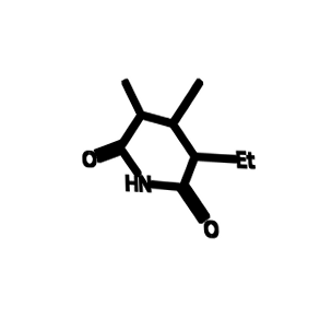 CCC1C(=O)NC(=O)C(C)C1C